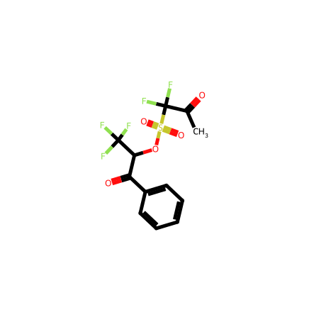 CC(=O)C(F)(F)S(=O)(=O)OC(C(=O)c1ccccc1)C(F)(F)F